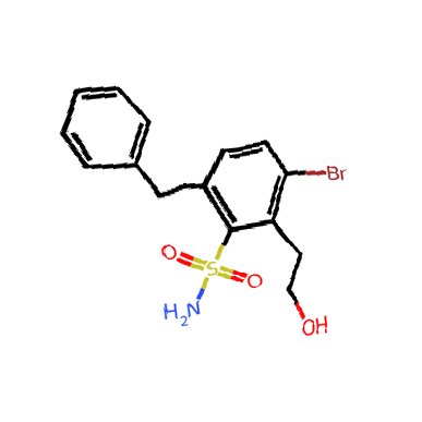 NS(=O)(=O)c1c(Cc2ccccc2)ccc(Br)c1CCO